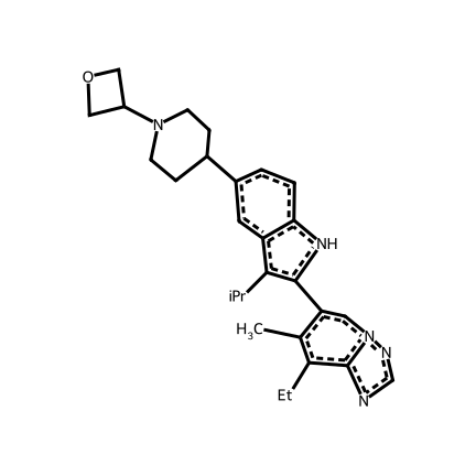 CCc1c(C)c(-c2[nH]c3ccc(C4CCN(C5COC5)CC4)cc3c2C(C)C)cn2ncnc12